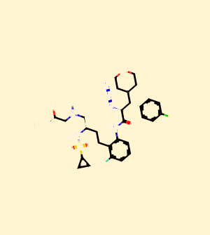 C[C@@H](O)CN(C[C@@H](CCc1c(F)cccc1NC(=O)[C@@H](N=[N+]=[N-])[C@@H](c1ccc(Cl)cc1)C1CCOCC1)NS(=O)(=O)C1CC1)C(=O)O